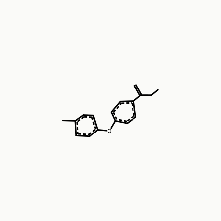 C=C(CC)c1ccc(Oc2ccc(C)cc2)cc1